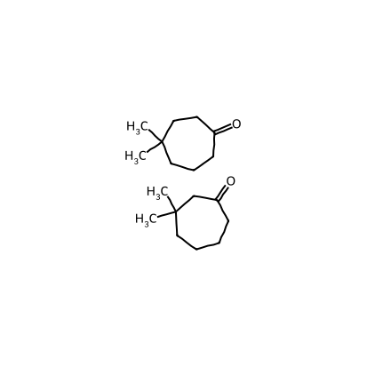 CC1(C)CCCC(=O)CC1.CC1(C)CCCCC(=O)C1